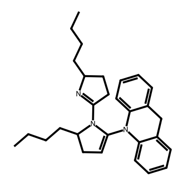 CCCCC1CCC(N2C(N3c4ccccc4Cc4ccccc43)=CCC2CCCC)=N1